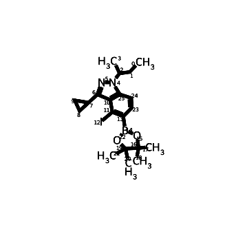 CCC(C)n1nc(C2CC2)c2c(I)c(B3OC(C)(C)C(C)(C)O3)ccc21